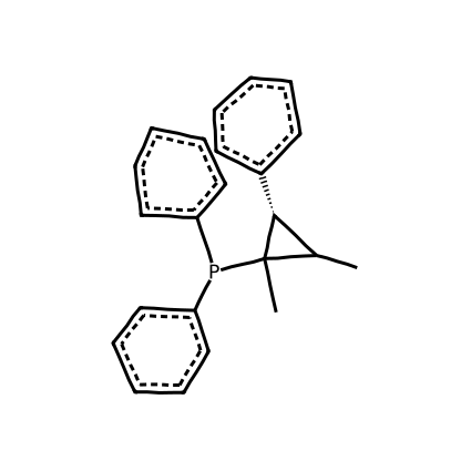 CC1[C@@H](c2ccccc2)C1(C)P(c1ccccc1)c1ccccc1